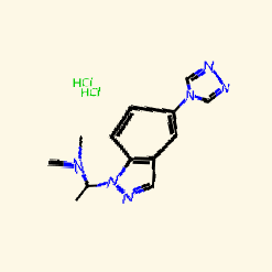 CC(N(C)C)n1ncc2cc(-n3cnnc3)ccc21.Cl.Cl